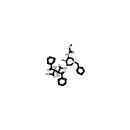 COC(=O)N[C@H]1CN(Cc2ccccc2)CC[C@H]1C.O=C(O)[C@@](O)(C(=O)c1ccccc1)[C@@](O)(C(=O)O)C(=O)c1ccccc1